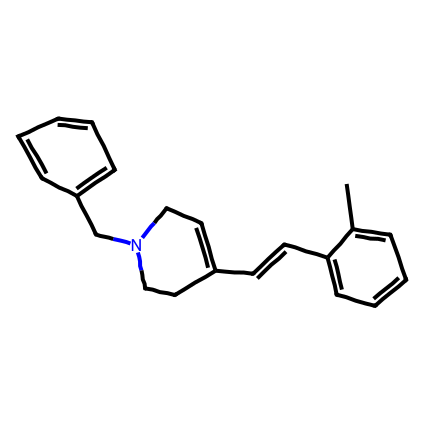 Cc1ccccc1C=CC1=CCN(Cc2ccccc2)CC1